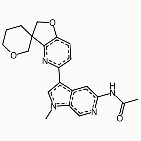 CC(=O)Nc1cc2c(-c3ccc4c(n3)C3(CCCOC3)CO4)cn(C)c2cn1